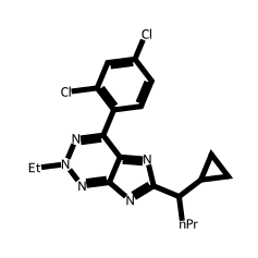 CCCC(c1nc2nn(CC)nc(-c3ccc(Cl)cc3Cl)c-2n1)C1CC1